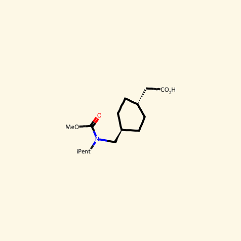 CCCC(C)N(C[C@H]1CC[C@H](CC(=O)O)CC1)C(=O)OC